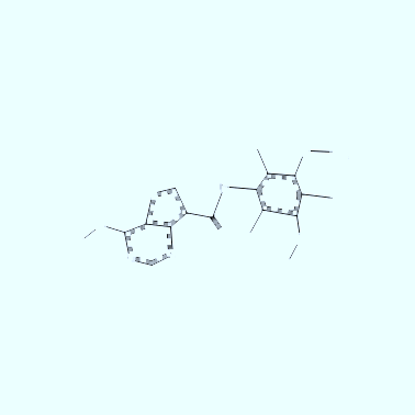 COc1c(Cl)c(NC(=O)c2csc3c(OC)ncnc23)c(Cl)c(OC)c1Cl